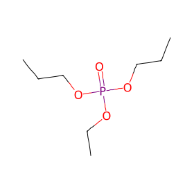 CCCOP(=O)(OCC)OCCC